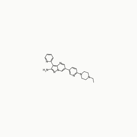 CCN1CCN(c2ccc(-c3cnc4c(-c5ccccn5)c(N)nn4c3)cn2)CC1